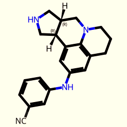 N#Cc1cccc(Nc2cc3c4c(c2)[C@@H]2CNC[C@@H]2CN4CCC3)c1